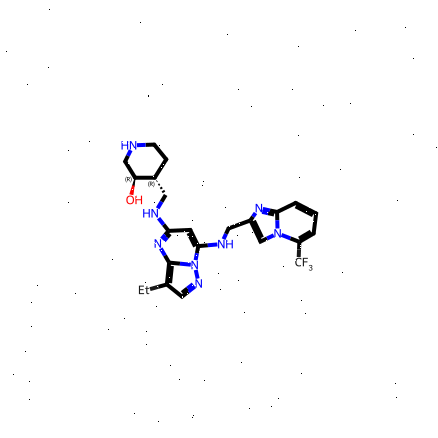 CCc1cnn2c(NCc3cn4c(C(F)(F)F)cccc4n3)cc(NC[C@H]3CCNC[C@@H]3O)nc12